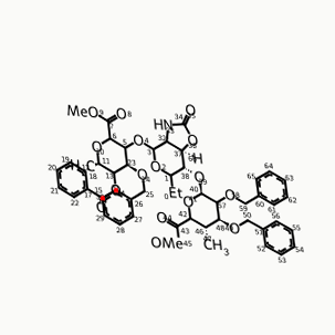 CCC1OC(OC2C(C(=O)OC)O[C@H](C)C(OC(=O)c3ccccc3)[C@@H]2OCc2ccccc2)C2NC(=O)O[C@H]2[C@@H]1O[C@@H]1OC(C(=O)OC)[C@@H](C)[C@H](OCc2ccccc2)C1OCc1ccccc1